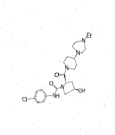 CCN1CCN(C2CCN(C(=O)[C@H]3C[C@@H](O)CN3C(=O)Nc3ccc(Cl)cc3)CC2)CC1